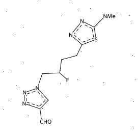 CNc1nnc(CCC(F)Cn2cc(C=O)nn2)s1